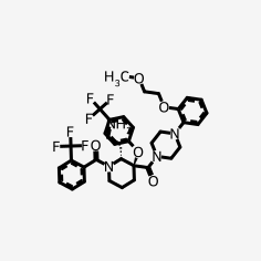 COCCOc1ccccc1N1CCN(C(=O)[C@]2(Oc3ccc(C(F)(F)F)cc3)CCCN(C(=O)c3ccccc3C(F)(F)F)[C@@H]2CCN)CC1